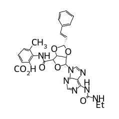 CCNC(=O)Nc1ncnc2c1ncn2C1OC(C(=O)Nc2c(C)cccc2C(=O)O)C2O[C@H](/C=C/c3ccccc3)OC21